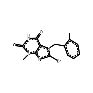 Cc1ccccc1Cn1c(Br)nc2c1c(=O)[nH]c(=O)n2C